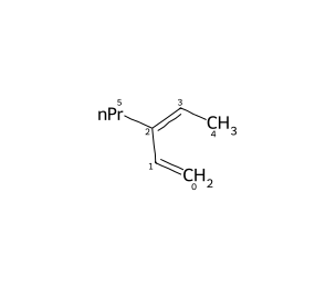 C=CC(=CC)CCC